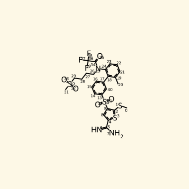 CSc1sc(C(=N)N)cc1S(=O)(=O)c1cccc(-c2c(C)cccc2N(CCCCS(C)(=O)=O)C(=O)C(F)(F)F)c1